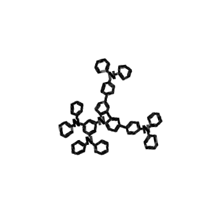 c1ccc(N(c2ccccc2)c2ccc(-c3ccc4c(c3)c3cc(-c5ccc(N(c6ccccc6)c6ccccc6)cc5)ccc3n4-c3cc(N(c4ccccc4)c4ccccc4)cc(N(c4ccccc4)c4ccccc4)c3)cc2)cc1